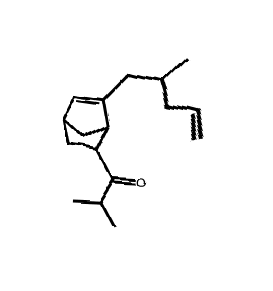 C=CCC(C)CC1=CC2CC(C(=O)C(C)C)C1C2